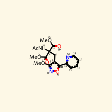 COC(=O)C(Cc1c(OC)noc1-c1ccccn1)(NC(C)=O)C(=O)OC